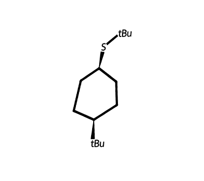 CC(C)(C)S[C@H]1CC[C@@H](C(C)(C)C)CC1